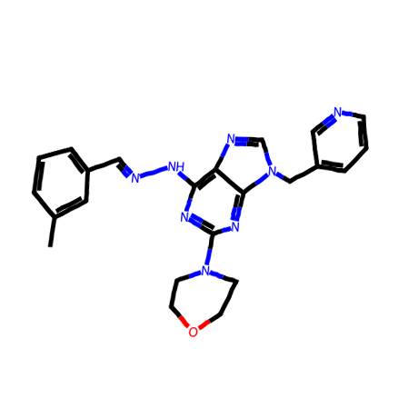 Cc1cccc(C=NNc2nc(N3CCOCC3)nc3c2ncn3Cc2cccnc2)c1